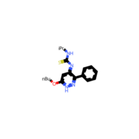 CCCCOc1cc(=NC(=S)NC(C)C)c(-c2ccccc2)n[nH]1